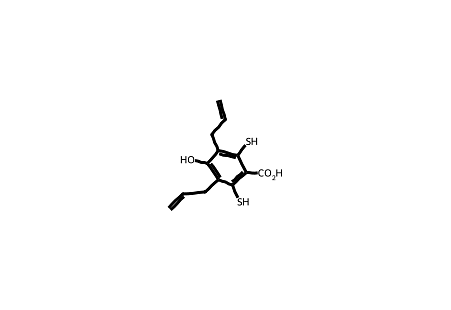 C=CCc1c(O)c(CC=C)c(S)c(C(=O)O)c1S